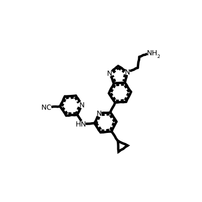 N#Cc1ccnc(Nc2cc(C3CC3)cc(-c3ccc4c(c3)ncn4CCN)n2)c1